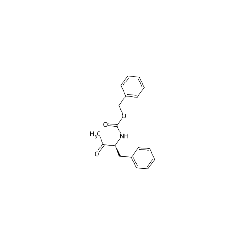 CC(=O)[C@H](Cc1ccccc1)NC(=O)OCc1ccccc1